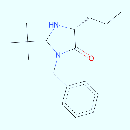 CCC[C@H]1NC(C(C)(C)C)N(Cc2ccccc2)C1=O